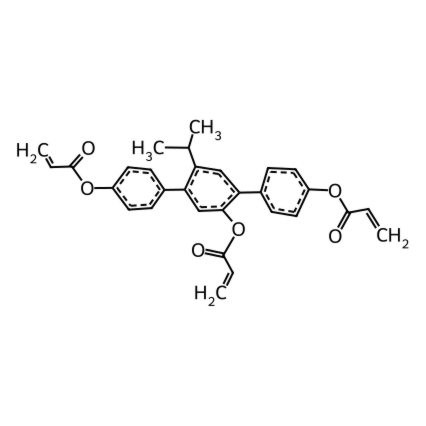 C=CC(=O)Oc1ccc(-c2cc(C(C)C)c(-c3ccc(OC(=O)C=C)cc3)cc2OC(=O)C=C)cc1